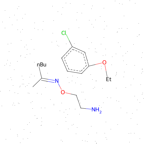 CCCCC(C)=NOCCN.CCOc1cccc(Cl)c1